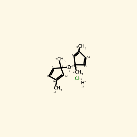 CC1=C[C](C)([Zr+2][C]2(C)C=CC(C)=C2)C=C1.[Cl-].[H-]